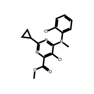 COC(=O)c1nc(C2CC2)nc(N(C)c2ccccc2Cl)c1Cl